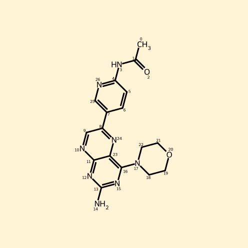 CC(=O)Nc1ccc(-c2cnc3nc(N)nc(N4CCOCC4)c3n2)cn1